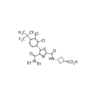 CCN(CC)C(=O)c1nc(C(=O)N[C@H]2C[C@H](C(=O)O)C2)sc1-c1ccc(C(C)(C(F)(F)F)C(F)(F)F)c(Cl)c1Cl